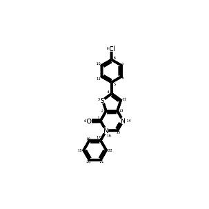 O=c1c2sc(-c3ccc(Cl)cc3)cc2ncn1-c1ccccc1